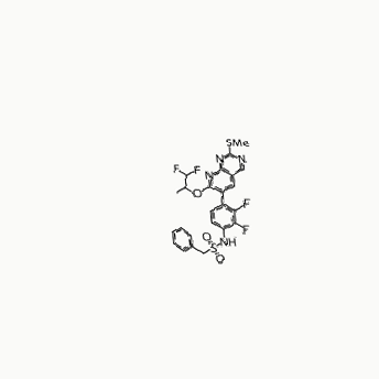 CSc1ncc2cc(-c3ccc(NS(=O)(=O)Cc4ccccc4)c(F)c3F)c(OC(C)C(F)F)nc2n1